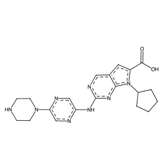 O=C(O)c1cc2cnc(Nc3cnc(N4CCNCC4)cn3)nc2n1C1CCCC1